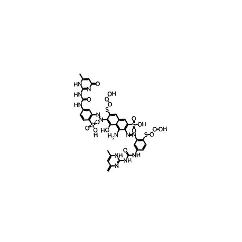 C=C1C=C(C)NC(NC(=O)Nc2ccc(SOOO)c(/N=N/c3c(S(=O)(=O)O)cc4cc(SOOO)c(/N=N/c5cc(NC(=O)Nc6nc(=O)cc(C)[nH]6)ccc5S(=O)(=O)O)c(O)c4c3N)c2)=N1